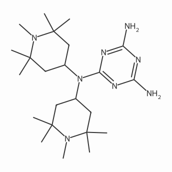 CN1C(C)(C)CC(N(c2nc(N)nc(N)n2)C2CC(C)(C)N(C)C(C)(C)C2)CC1(C)C